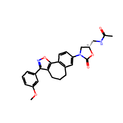 COc1cccc(-c2noc3c2CCCc2cc(N4C[C@H](CNC(C)=O)OC4=O)ccc2-3)c1